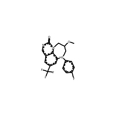 COC1Cn2c(=O)ncc3cc(C(F)(F)F)cc(c32)[SH](c2ccc(F)cc2)C1